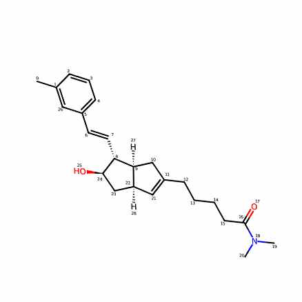 Cc1cccc(/C=C/[C@@H]2[C@H]3CC(CCCCC(=O)N(C)C)=C[C@H]3C[C@H]2O)c1